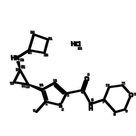 Cc1sc(C(=O)NC2CCOCC2)cc1[C@H]1C[C@@H]1NC1CCC1.Cl